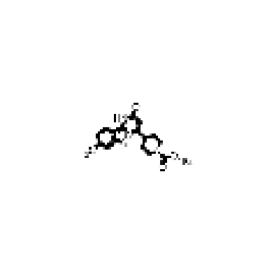 CC(C)(C)OC(=O)N1CCC(c2cc(=O)[nH]c3c4ccc(C(F)(F)F)cc4nn23)CC1